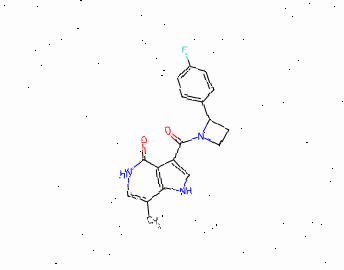 Cc1c[nH]c(=O)c2c(C(=O)N3CCC3c3ccc(F)cc3)c[nH]c12